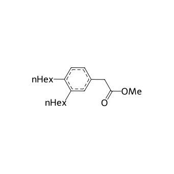 CCCCCCc1ccc(CC(=O)OC)cc1CCCCCC